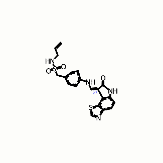 C=CCNS(=O)(=O)Cc1ccc(N/C=C2\C(=O)Nc3ccc4ncsc4c32)cc1